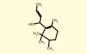 CC=CC(O)C1=C(C)CCC(C)C1(C)C